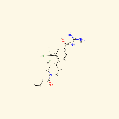 CCCC(=O)N1CCC(c2ccc(C(=O)NC(=N)N)cc2C(F)(F)F)CC1